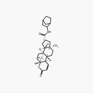 C[C@]12CC[C@H]3[C@@H](CC[C@H]4SC(=O)C=C[C@@]43C)[C@@H]1C[C@H](C(=O)NC1CC3CCC1C3)C2